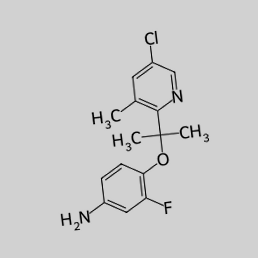 Cc1cc(Cl)cnc1C(C)(C)Oc1ccc(N)cc1F